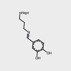 CCCCCCCCCC/N=C/c1ccc(O)c(O)c1